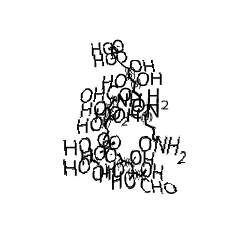 NC(=O)CC[C@H](N)C(=O)O.N[C@@H](C=O)[C@@H](O)[C@H](O)[C@H](O)COP(=O)(O)OC[C@@H](O)[C@@H](O)[C@H](O)[C@@H](O)C=O.O=C(CO)[C@@H](O)[C@H](O)[C@H](O)COP(=O)(O)O.OCC(O)CO